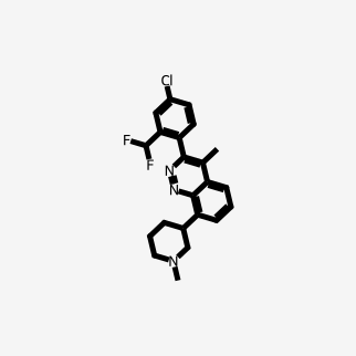 Cc1c(-c2ccc(Cl)cc2C(F)F)nnc2c(C3CCCN(C)C3)cccc12